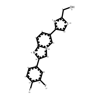 OCc1nc(-c2ccc3nc(-c4ccc(F)c(F)c4)cn3c2)cs1